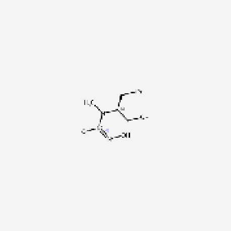 CC(C)C[C@@H](CO)N(C)/[N+]([O-])=N\O